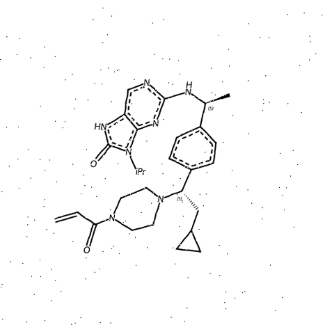 C=CC(=O)N1CCN([C@@H](CC2CC2)c2ccc([C@H](C)Nc3ncc4[nH]c(=O)n(C(C)C)c4n3)cc2)CC1